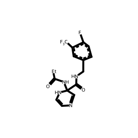 CCC(=O)NC1(C(=O)NCc2ccc(F)c(C(F)(F)F)c2)C=NC=CN1